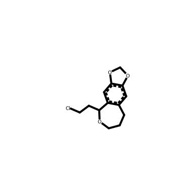 ClCCC1OCCCc2cc3c(cc21)OCO3